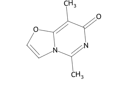 Cc1c(=O)nc(C)n2ccoc12